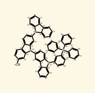 N#Cc1ccc2c3ccc(-n4c5ccccc5c5ccccc54)cc3n(-c3ccc4c(c3)c3ccccc3n4-c3cccc([Si](c4ccccc4)(c4ccccc4)c4ccccc4)c3)c2c1